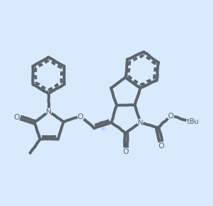 CC1=CC(O/C=C2/C(=O)N(C(=O)OC(C)(C)C)C3c4ccccc4CC23)N(c2ccccc2)C1=O